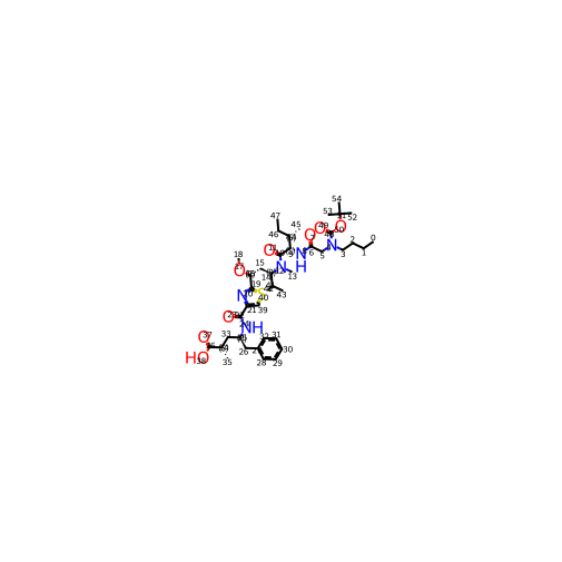 CCCCN(CC(=O)N[C@H](C(=O)N(C)[C@H](C[C@@H](OC)c1nc(C(=O)N[C@@H](Cc2ccccc2)C[C@H](C)C(=O)O)cs1)C(C)C)[C@@H](C)CC)C(=O)OC(C)(C)C